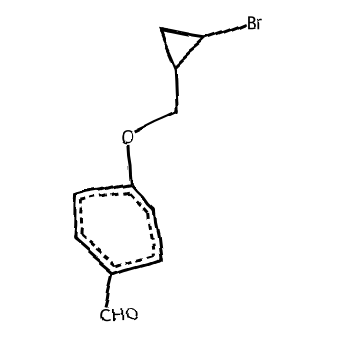 O=Cc1ccc(OCC2CC2Br)cc1